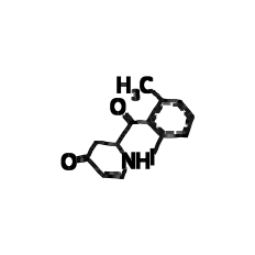 Cc1cccc(I)c1C(=O)C1CC(=O)C=CN1